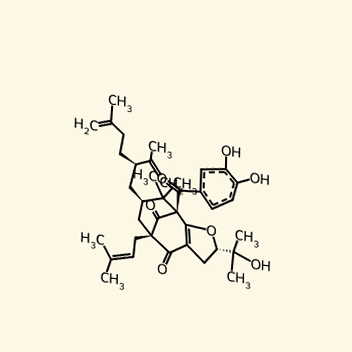 C=C(C)CC[C@H](C[C@@H]1C[C@@]2(CC=C(C)C)C(=O)C3=C(O[C@H](C(C)(C)O)C3)[C@](C(=O)c3ccc(O)c(O)c3)(C2=O)C1(C)C)C(=C)C